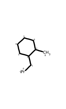 C[C](C)CC1CCCCC1C